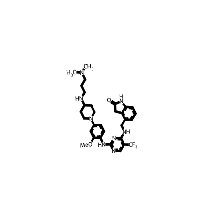 COc1cc(N2CCC(NCCCN(C)C)CC2)ccc1Nc1ncc(C(F)(F)F)c(NCc2cccc3c2CC(=O)N3)n1